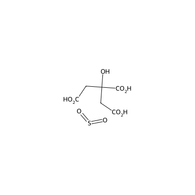 O=C(O)CC(O)(CC(=O)O)C(=O)O.O=S=O